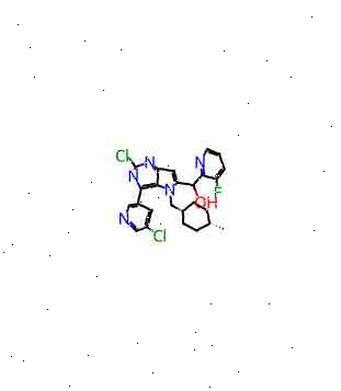 C[C@H]1CC[C@H](Cn2c(C(O)c3ncccc3F)cc3nc(Cl)nc(-c4cncc(Cl)c4)c32)CC1